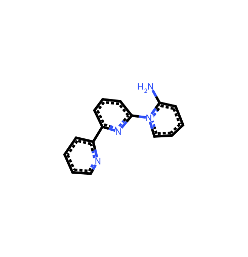 Nc1cccc[n+]1-c1cccc(-c2ccccn2)n1